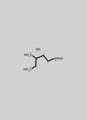 CCCCCCCCCC(CC(=O)O)C(=O)O.[KH]